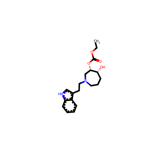 CCOC(=O)O[C@H]1CN(CCc2c[nH]c3ccccc23)CCC[C@H]1O